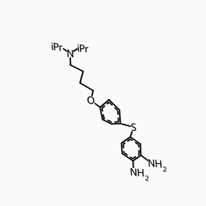 CC(C)N(CCCCOc1ccc(Sc2ccc(N)c(N)c2)cc1)C(C)C